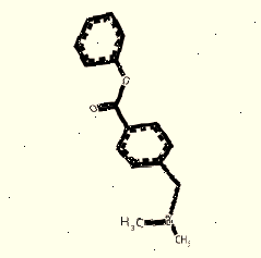 [CH3][Bi]([CH3])[CH2]c1ccc(C(=O)Oc2ccccc2)cc1